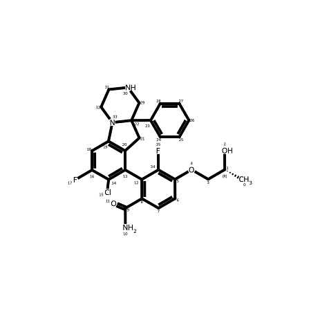 C[C@@H](O)COc1ccc(C(N)=O)c(-c2c(Cl)c(F)cc3c2CC2(c4ccccc4)CNCCN32)c1F